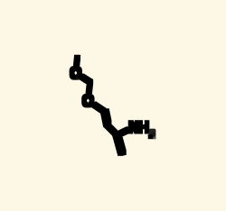 C=C(N)/C=C/OCOC